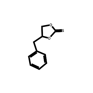 S=C1OCC(Cc2ccccc2)O1